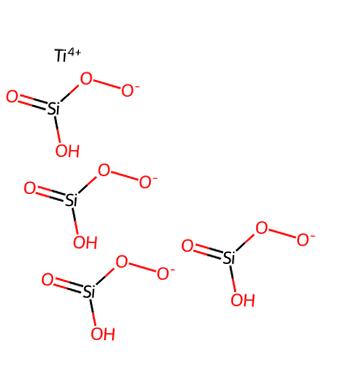 O=[Si](O)O[O-].O=[Si](O)O[O-].O=[Si](O)O[O-].O=[Si](O)O[O-].[Ti+4]